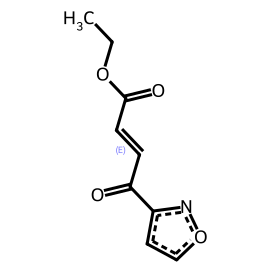 CCOC(=O)/C=C/C(=O)c1ccon1